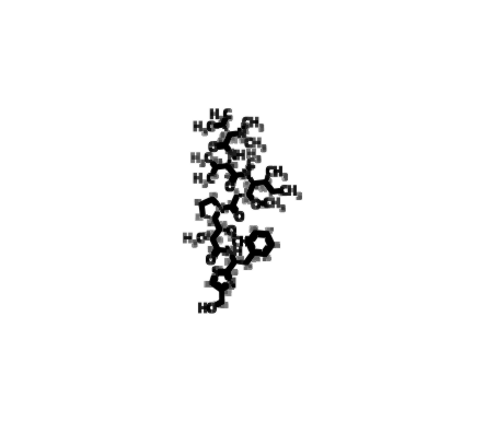 CC[C@H](C)[C@@H]([C@@H](CC(=O)N1CCC[C@H]1[C@H](OC)[C@@H](C)C(=O)N[C@@H](Cc1ccccc1)c1nc(CO)cs1)OC)N(C)C(=O)[C@@H](NC(=O)[C@H](C(C)C)N(C)C)C(C)C